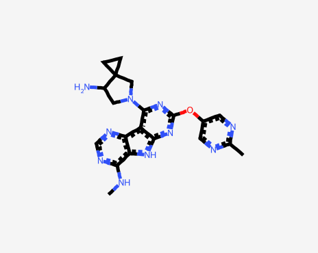 CNc1ncnc2c1[nH]c1nc(Oc3cnc(C)nc3)nc(N3CC(N)C4(CC4)C3)c12